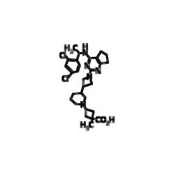 CC(Nc1nc(N2CC(C3CCCN(C4CC(C)(C(=O)O)C4)C3)C2)nc2c1CCC2)c1ccc(Cl)cc1Cl